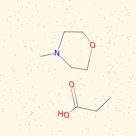 CCC(=O)O.CN1CCOCC1